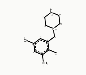 Cc1c(N)cc(Cl)cc1CN1CCNCC1